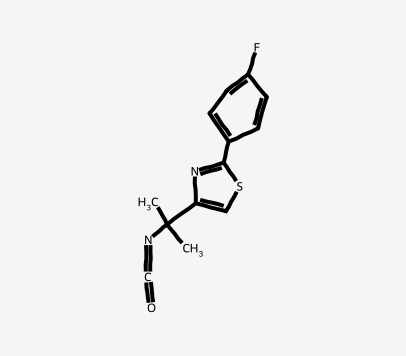 CC(C)(N=C=O)c1csc(-c2ccc(F)cc2)n1